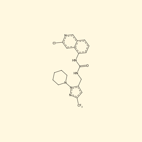 O=C(NCc1cc(C(F)(F)F)nn1N1CCCCC1)Nc1cccc2cnc(Cl)cc12